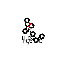 C[Si]1(C)c2cc(N(c3ccccc3)c3ccccc3-c3ccc4ccccc4c3)ccc2-c2c1ccc1oc3ccccc3c21